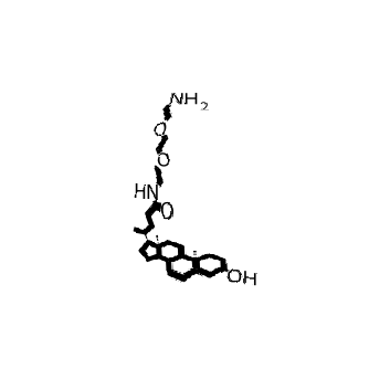 CC(CCC(=O)NCCOCCOCCN)[C@H]1CCC2C3CCC4C[C@H](O)CC[C@]4(C)C3CC[C@@]21C